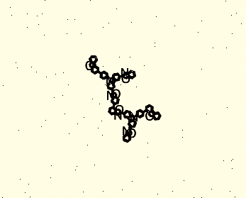 c1ccc2oc(-c3ccc4c(c3)c3cc(-c5nc6cc(-c7cccc8nc(-c9ccc%10c(c9)c9cc(-c%11nc%12ccccc%12o%11)ccc9n%10-c9ccc(-c%10cccc%11c%10oc%10ccccc%10%11)cc9)oc78)ccc6o5)ccc3n4-c3ccc(-c4ccc5oc6ccccc6c5c4)cc3)nc2c1